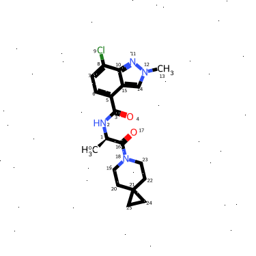 C[C@@H](NC(=O)c1ccc(Cl)c2nn(C)cc12)C(=O)N1CCC2(CC1)CC2